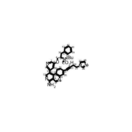 CC(C)(C)N(C(=O)O)[C@H](COc1cncc(-c2cnc(N)c3cnc4cc(C#CCCn5ccnc5)ccc4c23)c1)Cc1ccccc1